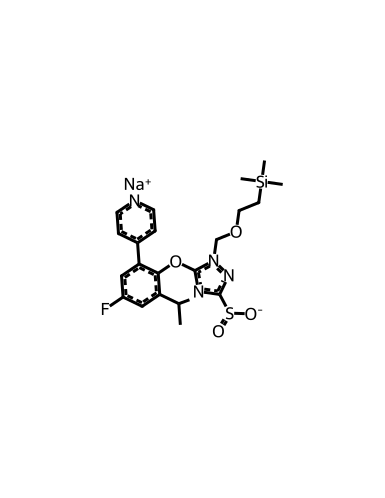 CC(C)c1cc(F)cc(-c2ccncc2)c1Oc1nc(S(=O)[O-])nn1COCC[Si](C)(C)C.[Na+]